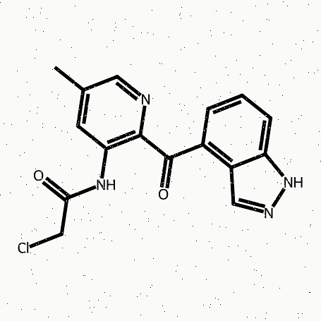 Cc1cnc(C(=O)c2cccc3[nH]ncc23)c(NC(=O)CCl)c1